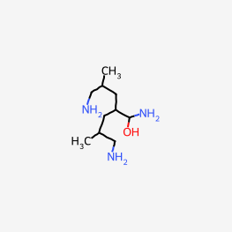 CC(CN)CC(CC(C)CN)C(N)O